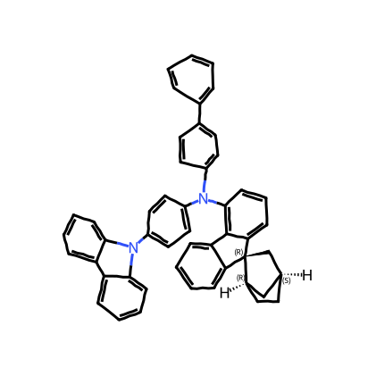 c1ccc(-c2ccc(N(c3ccc(-n4c5ccccc5c5ccccc54)cc3)c3cccc4c3-c3ccccc3[C@]43C[C@H]4CC[C@@H]3C4)cc2)cc1